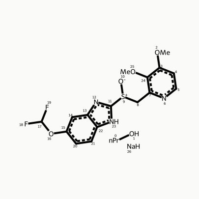 CCCO.COc1ccnc(C[S+]([O-])c2nc3cc(OC(F)F)ccc3[nH]2)c1OC.[NaH]